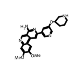 COc1cc2ncc3c(N)nc(-c4cncc(O[C@@H]5CCCNC5)c4)cc3c2cc1OC